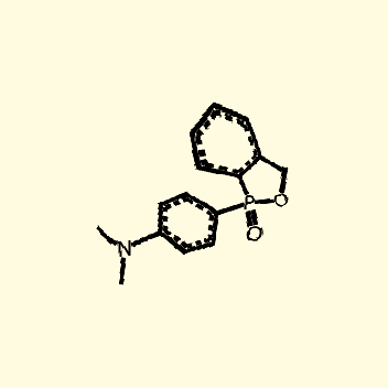 CN(C)c1ccc(P2(=O)OCc3ccccc32)cc1